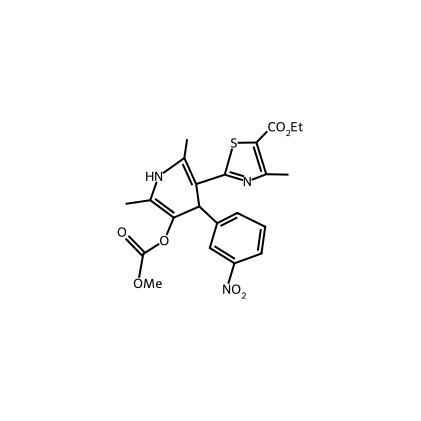 CCOC(=O)c1sc(C2=C(C)NC(C)=C(OC(=O)OC)C2c2cccc([N+](=O)[O-])c2)nc1C